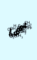 CCO[C@@H](C1C[C@@H](C)[C@H]2C(O1)[C@H](O)[C@@]1(C)C3CC[C@H]4C(C)(C)C(O[C@H]5CN(CCC(=O)O)CCO5)CC[C@@]45C[C@@]35CC[C@]21C)C(C)(C)O